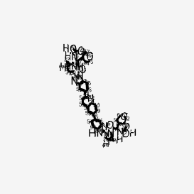 O=C(O)N[C@@H](C(=O)N1C2C[C@@H]2C[C@H]1c1nc2cc(-c3ccc4nc(-c5ccc6[nH]c([C@@H]7C[C@H]8CC8N7C(=O)[C@H](NC(=O)O)C7CCOCC7)nc6c5)ccc4c3)ccc2[nH]1)C1CCOCC1